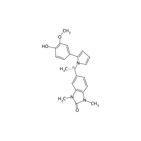 COc1cc(-c2cccn2[C@@H](C)c2ccc3c(c2)n(C)c(=O)n3C)ccc1O